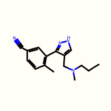 CCCN(C)Cc1c[nH]nc1-c1cc(C#N)ccc1C